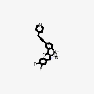 O=C1/C(=C\c2ccc(F)c(F)c2)[S+]([O-])Nc2ccc(C#CCc3ccncc3)cc21